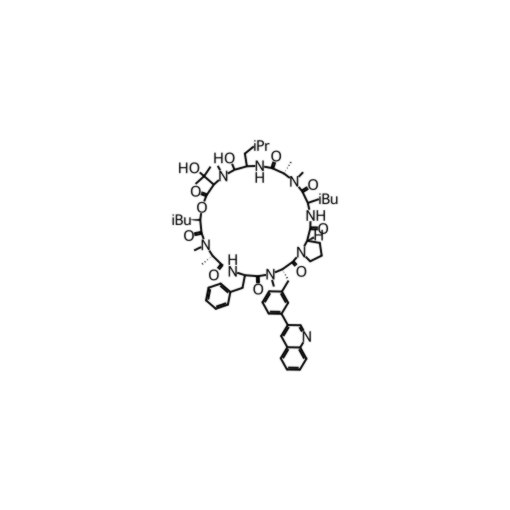 CCC(C)C1NC(=O)[C@@H]2CCCN2C(=O)[C@H](Cc2cccc(-c3cnc4ccccc4c3)c2)N(C)C(=O)C(Cc2ccccc2)NC(=O)[C@H](C)N(C)C(=O)C([C@H](C)CC)OC(=O)C(C(C)(C)O)N(C)C(O)C(CC(C)C)NC(=O)[C@H](C)N(C)C1=O